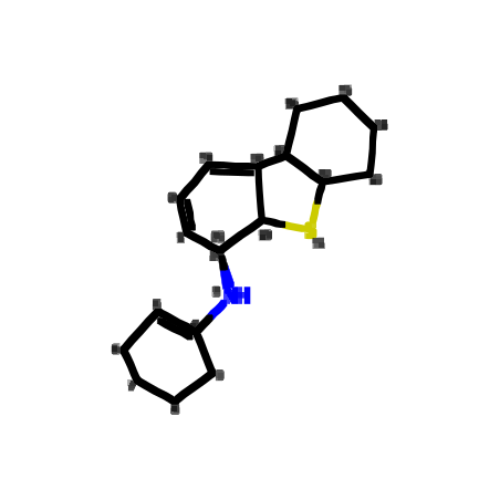 C1=C[C@H](NC2=CCCCC2)C2SC3CCCCC3C2=C1